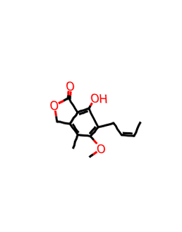 C/C=C\Cc1c(O)c2c(c(C)c1OC)COC2=O